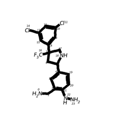 NCc1cc(C2CC(c3cc(Cl)cc(Cl)c3)(C(F)(F)F)CN2)ccc1NN